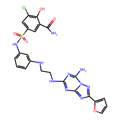 NC(=O)c1cc(S(=O)(=O)Nc2cccc(NCCNc3nc(N)n4nc(-c5ccco5)nc4n3)c2)cc(Cl)c1O